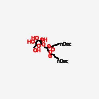 CCCCCCCCCCCCCC(=O)OCC(CO[C@@H]1OC(CO)[C@H](O)[C@@H](O)C1O)OC(=O)CCCCCCCCCCCCC